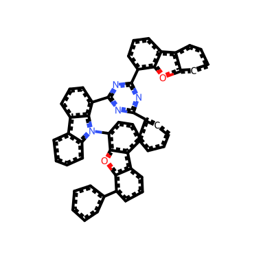 c1ccc(-c2nc(-c3cccc4c3oc3ccccc34)nc(-c3cccc4c5ccccc5n(-c5cccc6c5oc5c(-c7ccccc7)cccc56)c34)n2)cc1